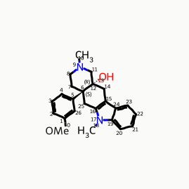 COc1cccc([C@@]23CCN(C)C[C@@]2(O)Cc2c(n(C)c4ccccc24)C3)c1